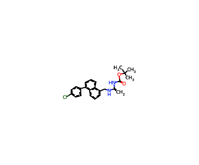 C=C(NCc1cccc2c(-c3ccc(Cl)cc3)cccc12)NC(=O)OC(C)(C)C